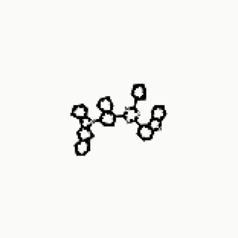 c1ccc(-c2nc(-c3ccc(-n4c5ccccc5c5cc6ccccc6cc54)c4ccccc34)nc(-c3cccc4sc5ccccc5c34)n2)cc1